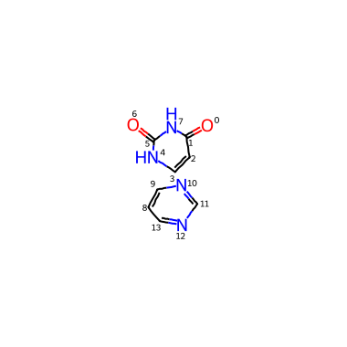 O=c1cc[nH]c(=O)[nH]1.c1cncnc1